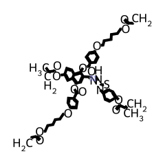 C=CC(=O)OCCCCCCOc1ccc(C(=O)Oc2cc(/C=N/Nc3nc4ccc(OC(=O)C(=C)C)cc4s3)c(OC(=O)c3ccc(OCCCCCCOC(=O)C=C)cc3)c3ccc(OC(=O)C(=C)C)cc23)cc1